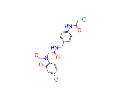 O=C(Cn1c(=O)oc2cc(Cl)ccc21)NCc1ccc(NC(=O)CCl)cc1